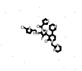 O=C(c1ccsc1)n1nc(-c2c(-c3cccnc3)ccn(Cc3ncccn3)c2=O)c(F)c1NCc1ccc(Cl)s1